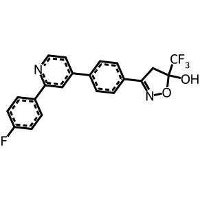 OC1(C(F)(F)F)CC(c2ccc(-c3ccnc(-c4ccc(F)cc4)c3)cc2)=NO1